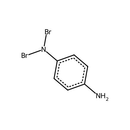 Nc1ccc(N(Br)Br)cc1